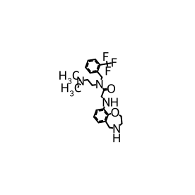 CN(C)CCN(Cc1ccccc1C(F)(F)F)C(=O)CNc1cccc2c1OCCNC2